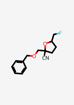 N#CC1(COCc2ccccc2)CCC(CF)O1